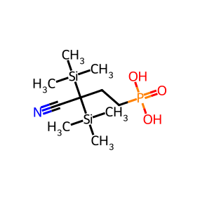 C[Si](C)(C)C(C#N)(CCP(=O)(O)O)[Si](C)(C)C